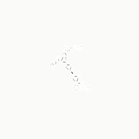 O=C(O)CC(=O)Nc1cc2nc(-c3ccc(C#Cc4ccc(C(=O)N5CCCC[C@H]5C(=O)O)cc4Cl)cc3)cc(C(=O)NNCl)c2cn1